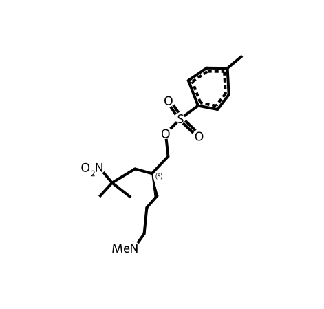 CNCCC[C@H](COS(=O)(=O)c1ccc(C)cc1)CC(C)(C)[N+](=O)[O-]